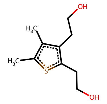 Cc1sc(CCO)c(CCO)c1C